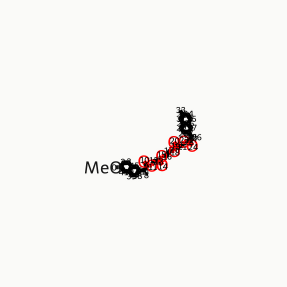 COc1ccc2cc([C@H](C)C(=O)OCC(=O)OCCOC(=O)COC(=O)[C@@H](C)c3ccc4cc(C)ccc4c3)ccc2c1